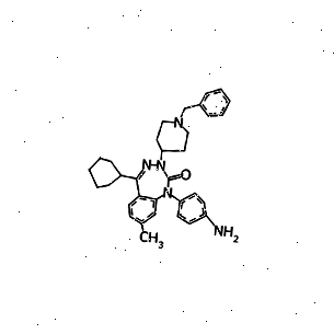 Cc1ccc2c(c1)N(c1ccc(N)cc1)C(=O)N(C1CCN(Cc3ccccc3)CC1)N=C2C1CCCCC1